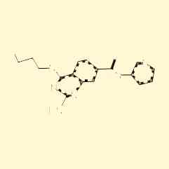 CCCCNc1nc(N)nc2cc(C(=O)Nc3cccnc3)ccc12